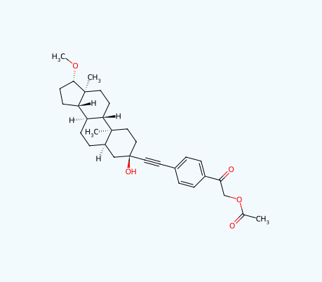 CO[C@H]1CC[C@H]2[C@@H]3CC[C@@H]4C[C@@](O)(C#Cc5ccc(C(=O)COC(C)=O)cc5)CC[C@]4(C)[C@H]3CC[C@]12C